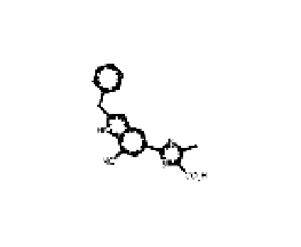 Cc1nc(-c2cc(C#N)c3[nH]c(Cc4ccccc4)cc3c2)sc1C(=O)O